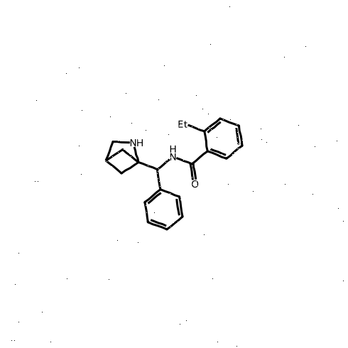 CCc1ccccc1C(=O)NC(c1ccccc1)C12CC(CN1)C2